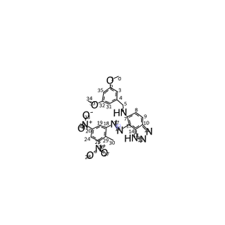 COc1cc(CNc2ccc3nn[nH]c3c2/N=N/c2cc([N+](=O)[O-])cc([N+](=O)[O-])c2C)cc(OC)c1